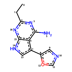 CCc1nc(N)c2c(-c3cnco3)c[nH]c2n1